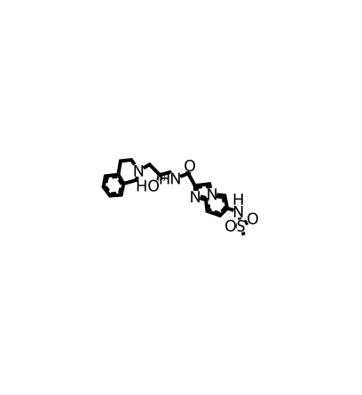 CS(=O)(=O)Nc1ccc2nc(C(=O)NC[C@H](O)CN3CCc4ccccc4C3)cn2c1